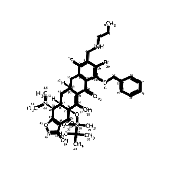 CCCNCc1c(F)c2c(c(OCc3ccccc3)c1Br)C(=O)C1=C(O)[C@]3(O[Si](C)(C)C(C)(C)C)C(=O)c4c(O)noc4[C@@H](N(C)C)[C@@H]3C[C@@H]1C2